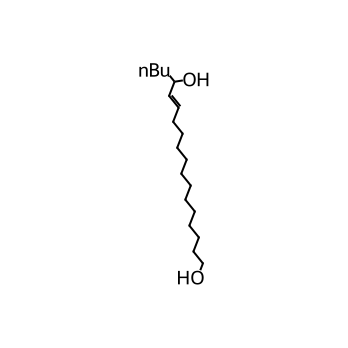 CCCCC(O)C=CCCCCCCCCCCCCO